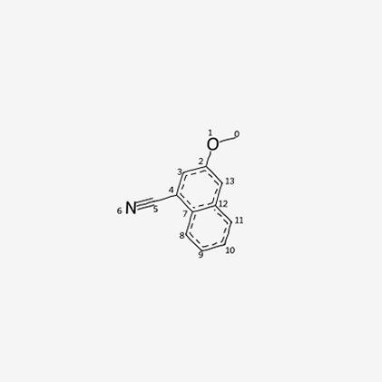 COc1cc(C#N)c2ccccc2c1